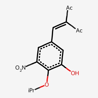 CC(=O)C(=Cc1cc(O)c(OC(C)C)c([N+](=O)[O-])c1)C(C)=O